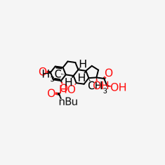 CCCCC(=O)OC1=CC(=O)C=C2CC[C@@H]3[C@H]([C@@H](O)C[C@@]4(C)[C@H]3CC[C@]4(O)C(=O)CO)[C@]21C